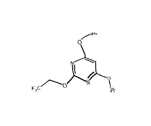 CC(C)Oc1cc(OC(C)C)nc(OCC(F)(F)F)n1